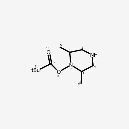 CC1CNCC(C)N1OC(=O)C(C)(C)C